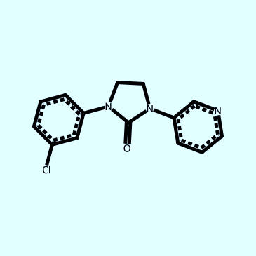 O=C1N(c2cccnc2)CCN1c1cccc(Cl)c1